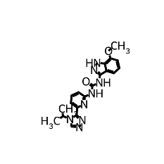 COc1cccc2c(NC(=O)Nc3cccc(-c4nncn4C(C)C)n3)n[nH]c12